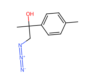 Cc1ccc(C(C)(O)CN=[N+]=[N-])cc1